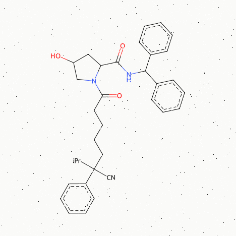 CC(C)C(C#N)(CCCCC(=O)N1CC(O)CC1C(=O)NC(c1ccccc1)c1ccccc1)c1ccccc1